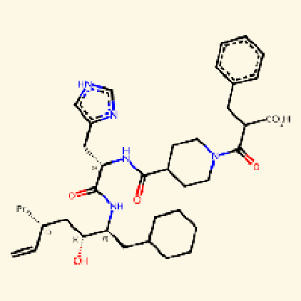 C=C[C@@H](C[C@@H](O)[C@H](CC1CCCCC1)NC(=O)[C@H](Cc1c[nH]cn1)NC(=O)C1CCN(C(=O)C(Cc2ccccc2)C(=O)O)CC1)C(C)C